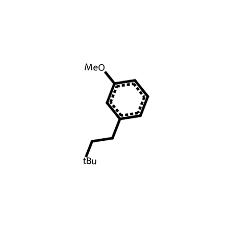 COc1cccc(CCC(C)(C)C)c1